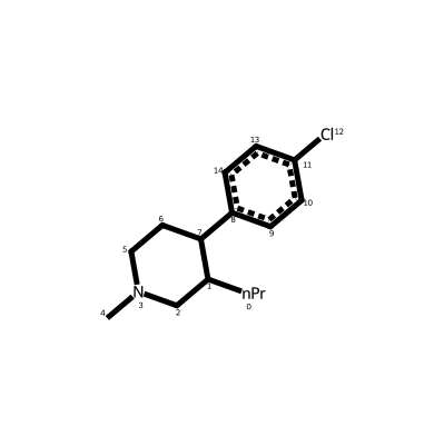 CCCC1CN(C)CCC1c1ccc(Cl)cc1